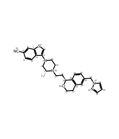 C[C@@H]1CN(c2csc3cc(C#N)ccc23)CCN1CC[C@@H]1OCCc2cc(Cn3cccn3)ccc21